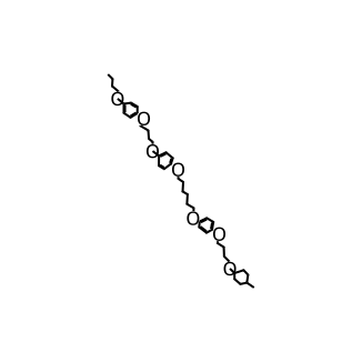 CCCCOc1ccc(OCCCCOc2ccc(OCCCCCCOc3ccc(OCCCCOC4CCC(C)CC4)cc3)cc2)cc1